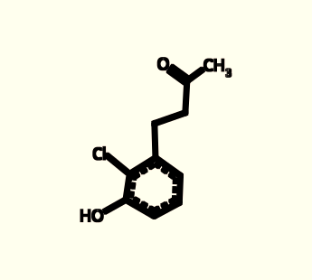 CC(=O)CCc1cccc(O)c1Cl